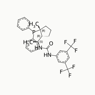 C[C@H](NC(=O)Nc1cc(C(F)(F)F)cc(C(F)(F)F)c1)[C@H]1CCC[C@@]1(C)P(c1ccccc1)c1ccccc1